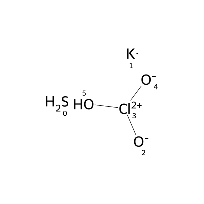 S.[K].[O-][Cl+2]([O-])O